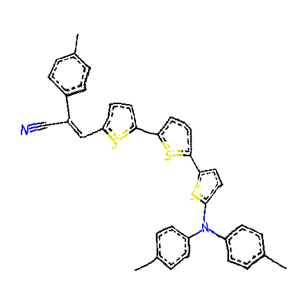 Cc1ccc(/C(C#N)=C\c2ccc(-c3ccc(-c4ccc(N(c5ccc(C)cc5)c5ccc(C)cc5)s4)s3)s2)cc1